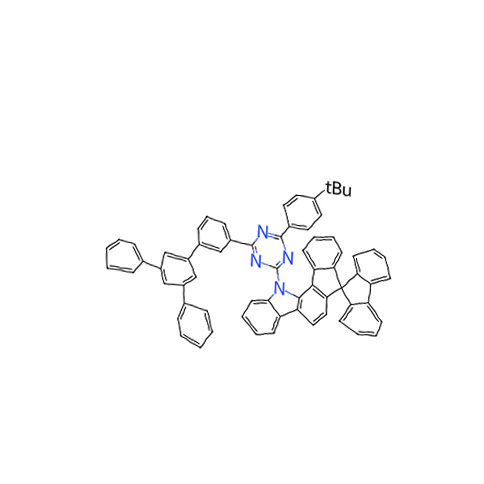 CC(C)(C)c1ccc(-c2nc(-c3cccc(-c4cc(-c5ccccc5)cc(-c5ccccc5)c4)c3)nc(-n3c4ccccc4c4ccc5c(c43)-c3ccccc3C53c4ccccc4-c4ccccc43)n2)cc1